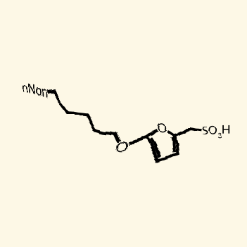 CCCCCCCCCCCCCCOc1ccc(CS(=O)(=O)O)o1